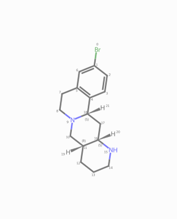 Brc1ccc2c(c1)CCN1C[C@H]3CCCN[C@H]3C[C@@H]21